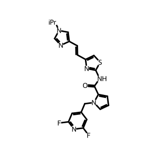 CC(C)n1cnc(/C=C/c2csc(NC(=O)c3cccn3Cc3cc(F)nc(F)c3)n2)c1